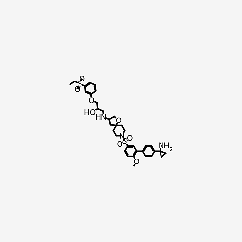 CCS(=O)(=O)c1cccc(OCC(O)CNC2COC3(CCN(S(=O)(=O)c4ccc(OC)c(-c5ccc(C6(N)CC6)cc5)c4)CC3)C2)c1